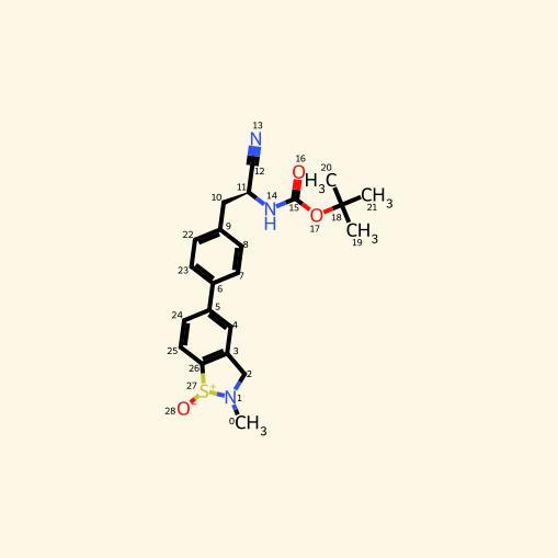 CN1Cc2cc(-c3ccc(C[C@@H](C#N)NC(=O)OC(C)(C)C)cc3)ccc2[S+]1[O-]